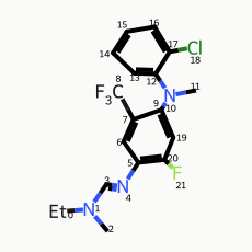 CCN(C)C=Nc1cc(C(F)(F)F)c(N(C)c2ccccc2Cl)cc1F